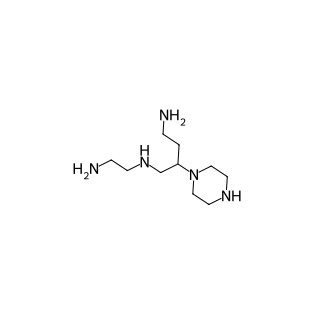 NCCNCC(CCN)N1CCNCC1